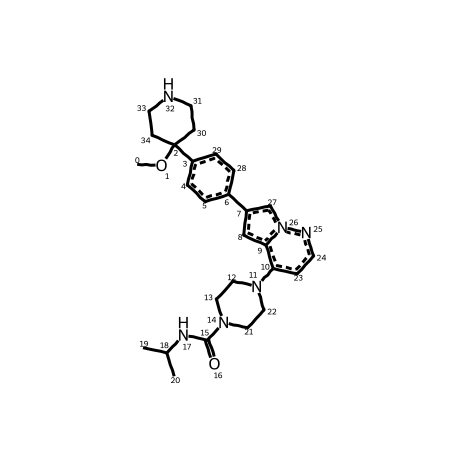 COC1(c2ccc(-c3cc4c(N5CCN(C(=O)NC(C)C)CC5)ccnn4c3)cc2)CCNCC1